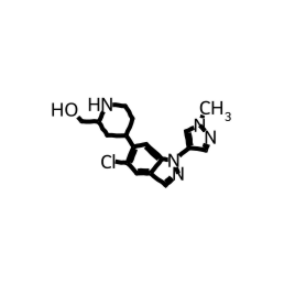 Cn1cc(-n2ncc3cc(Cl)c(C4CCNC(CO)C4)cc32)cn1